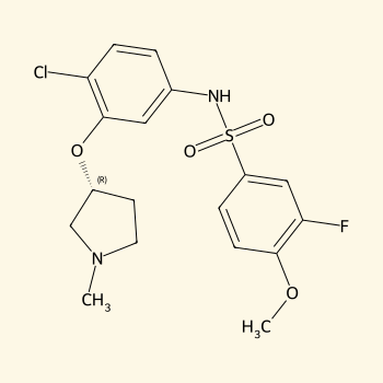 COc1ccc(S(=O)(=O)Nc2ccc(Cl)c(O[C@@H]3CCN(C)C3)c2)cc1F